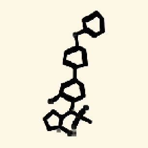 CS(=O)(=O)N(c1ccc(-c2ccc(Oc3ccccc3)cc2)cc1Cl)C1CCC[C@@H]1O